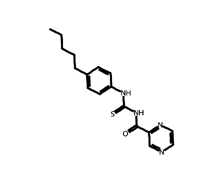 CCCCCc1ccc(NC(=S)NC(=O)c2cnccn2)cc1